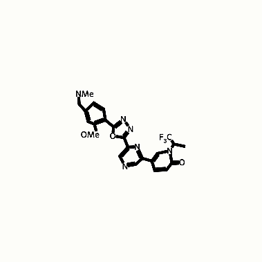 CNCc1ccc(-c2nnc(-c3cncc(-c4ccc(=O)n(C(C)C(F)(F)F)c4)n3)o2)c(OC)c1